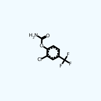 NC(=O)Oc1ccc(C(F)(F)F)cc1Cl